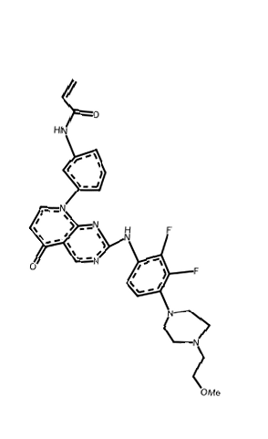 C=CC(=O)Nc1cccc(-n2ccc(=O)c3cnc(Nc4ccc(N5CCN(CCOC)CC5)c(F)c4F)nc32)c1